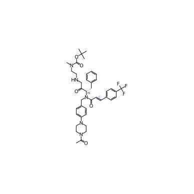 CC(=O)N1CCN(c2ccc(CN(C(=O)/C=C/c3ccc(C(F)(F)F)cc3)[C@@H](Cc3ccccc3)C(=O)CNCCN(C)C(=O)OC(C)(C)C)cc2)CC1